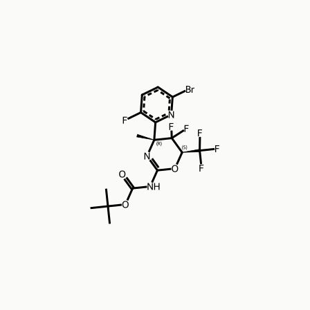 CC(C)(C)OC(=O)NC1=N[C@](C)(c2nc(Br)ccc2F)C(F)(F)[C@@H](C(F)(F)F)O1